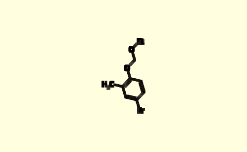 CCOCOc1ccc(Br)cc1C